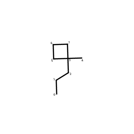 CCCC1(C)[CH]CC1